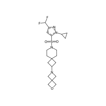 O=S(=O)(c1cc(C(F)F)nn1C1CC1)N1CCC2(CC1)CC(N1CC3(COC3)C1)C2